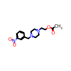 CC(=O)OCCN1CCN(Cc2cccc([N+](=O)[O-])c2)CC1